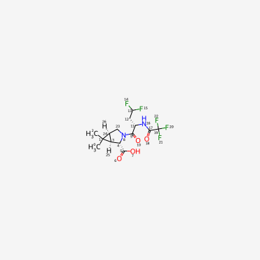 CC1(C)[C@@H]2[C@@H](C(=O)O)N(C(=O)[C@H](CC(F)F)NC(=O)C(F)(F)F)C[C@@H]21